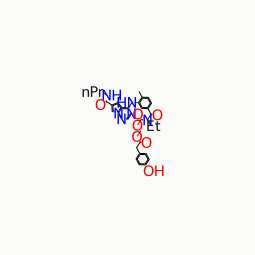 CCCNC(=O)c1cn2ncnc(Nc3cc(C(=O)N(CC)C(=O)OCOC(=O)Cc4ccc(O)cc4)ccc3C)c2c1C